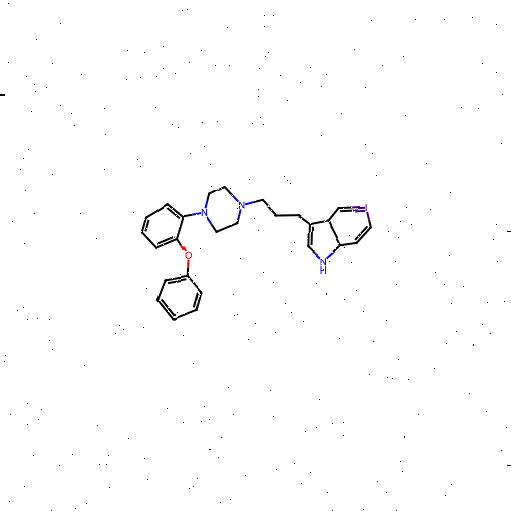 C1=CC2NC=C(CCCN3CCN(c4ccccc4Oc4ccccc4)CC3)C2C=I1